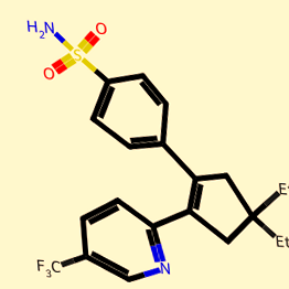 CCC1(CC)CC(c2ccc(S(N)(=O)=O)cc2)=C(c2ccc(C(F)(F)F)cn2)C1